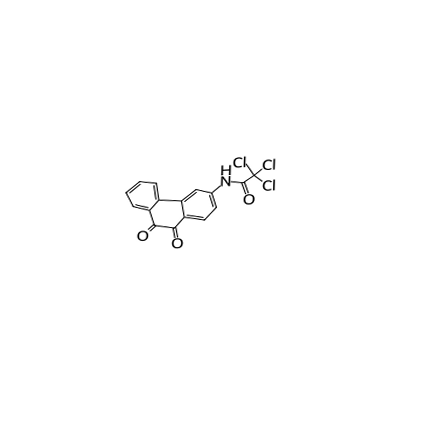 O=C1C(=O)c2ccc(NC(=O)C(Cl)(Cl)Cl)cc2-c2ccccc21